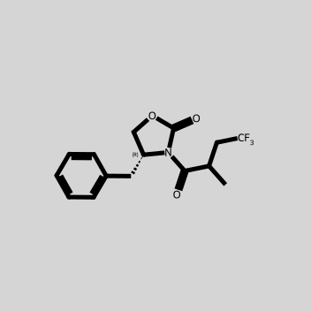 CC(CC(F)(F)F)C(=O)N1C(=O)OC[C@H]1Cc1ccccc1